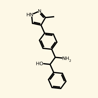 Cc1n[nH]cc1-c1ccc(C(N)C(O)c2ccccc2)cc1